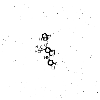 COc1cc2c(Nc3ccc(Cl)c(Cl)c3)ncnc2cc1OC[C@H]1C[C@H]2CC[C@@H](C1)N2.Cl